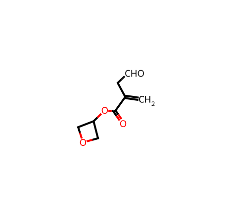 C=C(CC=O)C(=O)OC1COC1